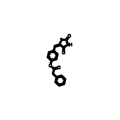 O=C(Cc1ccccc1)Oc1ccc(C=C2SC(=O)NC2=O)cc1